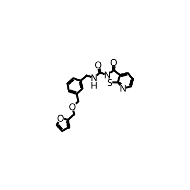 O=C(NCc1cccc(COCc2ccco2)c1)n1sc2ncccc2c1=O